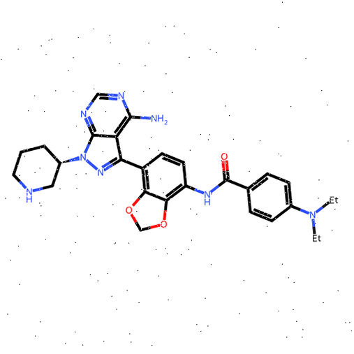 CCN(CC)c1ccc(C(=O)Nc2ccc(-c3nn([C@@H]4CCCNC4)c4ncnc(N)c34)c3c2OCO3)cc1